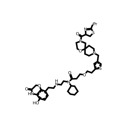 CC(C)C1=NC(C(=O)N2CCOC3(CCN(Cc4csc(CCOCCC(=O)N(CCNCCc5ccc(O)c6c5OCC(=O)N6)C5CCCCC5)c4)CC3)C2)CS1